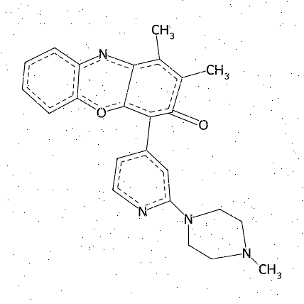 Cc1c2nc3ccccc3oc-2c(-c2ccnc(N3CCN(C)CC3)c2)c(=O)c1C